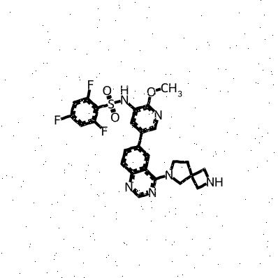 COc1ncc(-c2ccc3ncnc(N4CCC5(CNC5)C4)c3c2)cc1NS(=O)(=O)c1c(F)cc(F)cc1F